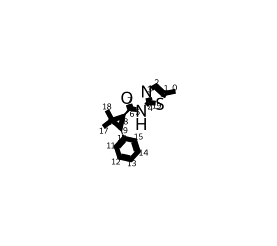 Cc1cnc(NC(=O)[C@H]2[C@H](c3ccccc3)C2(C)C)s1